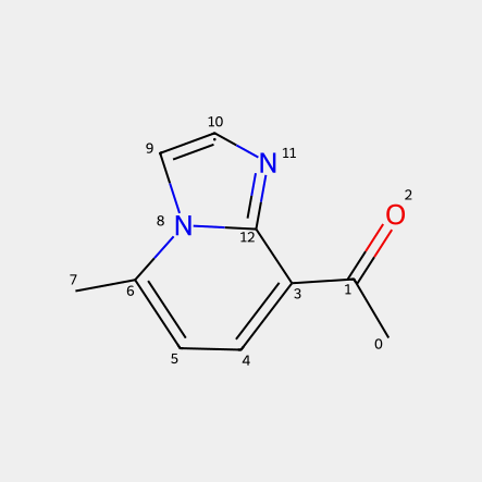 CC(=O)c1ccc(C)n2c[c]nc12